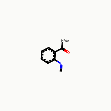 C=Nc1ccccc1C(=O)NC